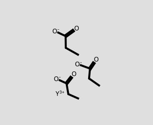 CCC(=O)[O-].CCC(=O)[O-].CCC(=O)[O-].[Y+3]